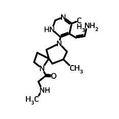 CNCC(=O)N1CCC12CC(C)CN(C1=C(/C=C\N)C(C)=NCN1)C2